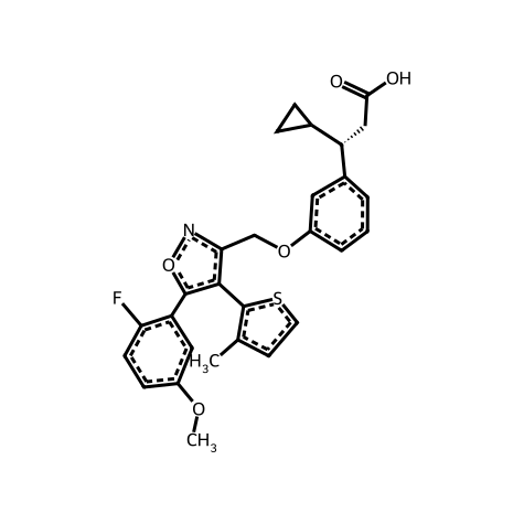 COc1ccc(F)c(-c2onc(COc3cccc([C@@H](CC(=O)O)C4CC4)c3)c2-c2sccc2C)c1